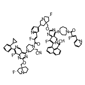 C#Cc1cccc2cccc(-c3ncc4c(N5CCCN(C(=O)/C(F)=C/c6ccccn6)CC5)nc(OC[C@@]56CC(c7ccnc(/C=C(\F)C(=O)N8CCN(c9nc(OC[C@@]%10%11CCCN%10C[C@H](F)C%11)nc%10c(F)c(-c%11ccccc%11C%11CC%11)ncc9%10)C[C@@H]8CC#N)c7)CN5C[C@H](F)C6)nc4c3F)c12